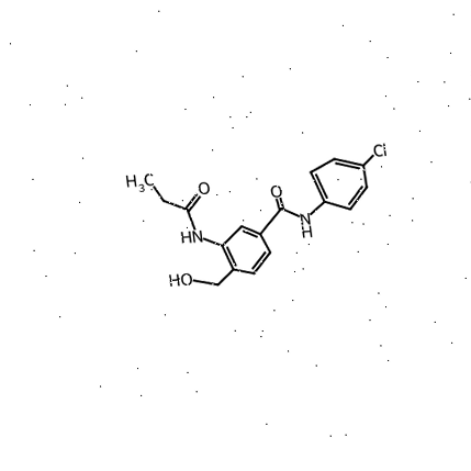 CCC(=O)Nc1cc(C(=O)Nc2ccc(Cl)cc2)ccc1CO